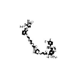 COc1cc2ncnc(Nc3ccc(F)c(Cl)c3)c2cc1NC(=O)/C=C/CN1CCC(NC(=O)COCCOCCSc2cccc3c2CN(C2CCC(=O)NC2=O)C3O)CC1